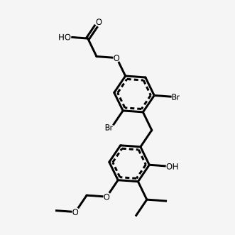 COCOc1ccc(Cc2c(Br)cc(OCC(=O)O)cc2Br)c(O)c1C(C)C